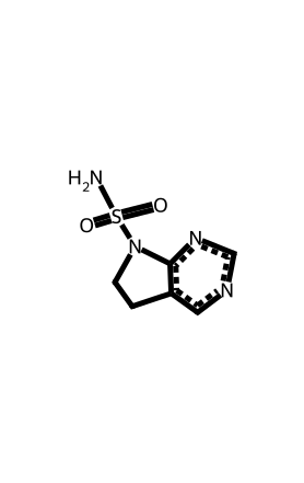 NS(=O)(=O)N1CCc2cncnc21